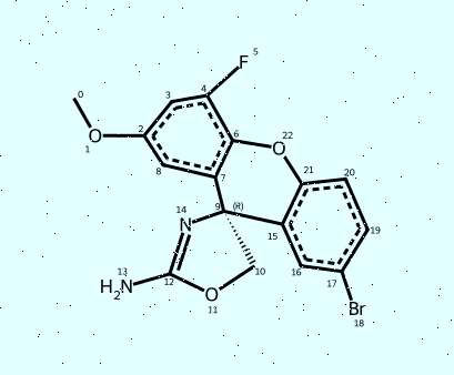 COc1cc(F)c2c(c1)[C@@]1(COC(N)=N1)c1cc(Br)ccc1O2